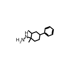 CC1CC(c2ccccc2)CCC1(C)NN